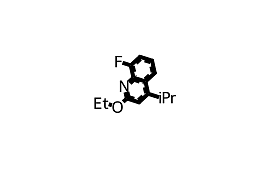 CCOc1cc(C(C)C)c2cccc(F)c2n1